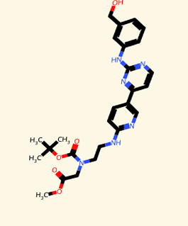 COC(=O)CN(CCNc1ccc(-c2ccnc(Nc3cccc(CO)c3)n2)cn1)C(=O)OC(C)(C)C